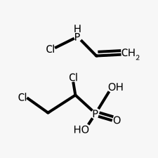 C=CPCl.O=P(O)(O)C(Cl)CCl